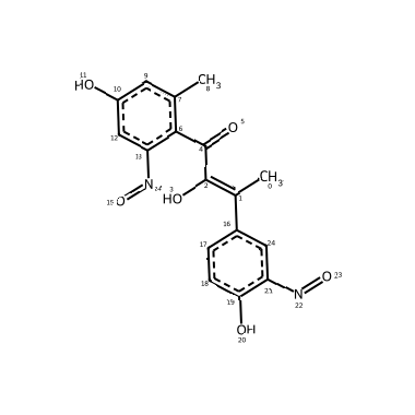 C/C(=C(/O)C(=O)c1c(C)cc(O)cc1N=O)c1ccc(O)c(N=O)c1